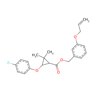 C=CCOc1cccc(COC(=O)C2C(Oc3ccc(F)cc3)C2(C)C)c1